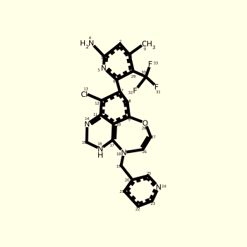 Cc1cc(N)nc(-c2cc3c4c(c2Cl)=NCNC=4N(Cc2cccnc2)C=CO3)c1C(F)(F)F